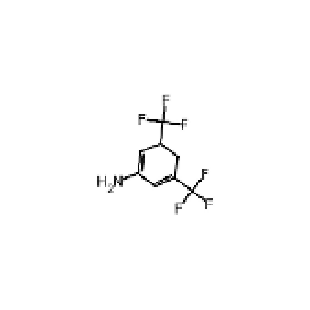 NC1=CC(C(F)(F)F)CC(C(F)(F)F)=C1